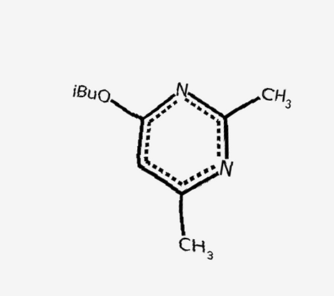 Cc1cc(OCC(C)C)nc(C)n1